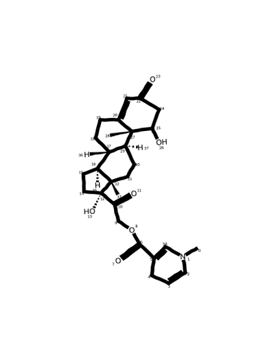 CN1C=CCC(C(=O)OCC(=O)[C@@]2(O)CC[C@H]3[C@@H]4CCC5=CC(=O)CC(O)[C@]5(C)[C@H]4CC[C@@]32C)=C1